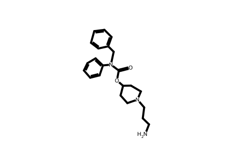 NCCCN1CCC(OC(=O)N(Cc2ccccc2)c2ccccc2)CC1